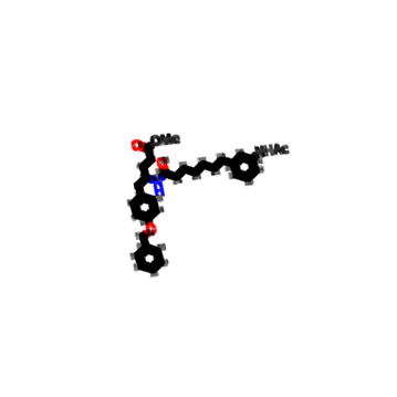 COC(=O)CCC(Cc1ccc(OCc2ccccc2)cc1)NC(=O)CCCCCCc1cccc(NC(C)=O)c1